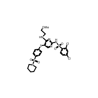 COCCNc1nc(NS(=O)(=O)c2ccc(Cl)cc2Cl)ncc1Sc1ccc(S(=O)(=O)N2CCCCC2)cc1